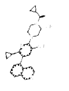 C[C@@H]1CN(c2nc(C3CC3)c(-c3cccc4cnccc34)cc2N)CCN1C(=O)C1CC1